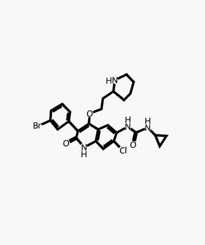 O=C(Nc1cc2c(OCCC3CCCCN3)c(-c3cccc(Br)c3)c(=O)[nH]c2cc1Cl)NC1CC1